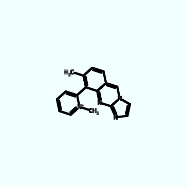 Cc1ccc2cn3ccnc3nc2c1-c1cccc[n+]1C